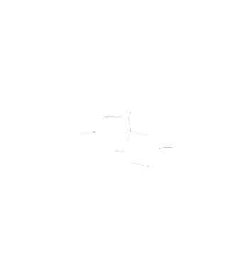 CC(=O)C1=C(C)OC2OC(C)C(O)C(O)C2S1